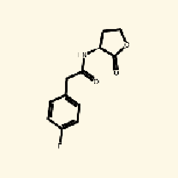 O=C(Cc1ccc(F)cc1)N[C@H]1CCOC1=O